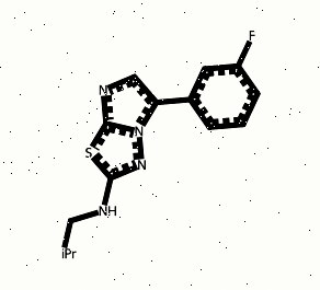 CC(C)CNc1nn2c(-c3cccc(F)c3)cnc2s1